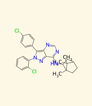 CC1(C)C2CCC1(C)C(Nc1ncnc3c(-c4ccc(Cl)cc4)n(-c4ccccc4Cl)nc13)C2